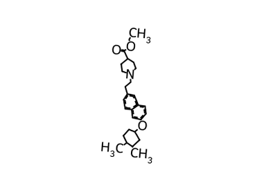 CCOC(=O)C1CCN(CCc2ccc3cc(OC4CCC(C)C(C)C4)ccc3c2)CC1